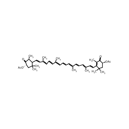 CC(=O)O[C@H]1CC(C)(C)C(/C=C/C(C)=C/C=C/C(C)=C/C=C/C=C(C)/C=C/C=C(C)/C=C/C2[C@H](C)C(=O)[C@@H](OC(C)=O)CC2(C)C)=C(C)C1=O